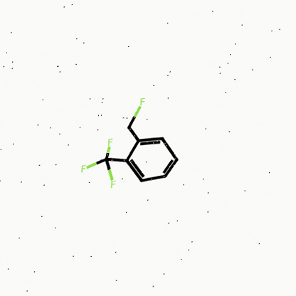 FCc1ccccc1C(F)(F)F